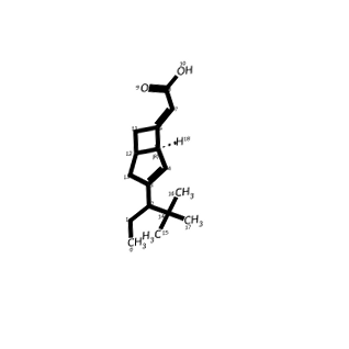 CCC(C1=C[C@@H]2C(=CC(=O)O)CC2C1)C(C)(C)C